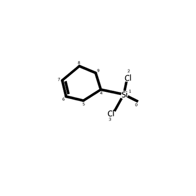 C[Si](Cl)(Cl)C1CC=CCC1